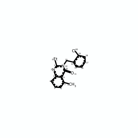 CCc1nc2cccc(C)c2c(=O)n1Cc1ccccc1Cl